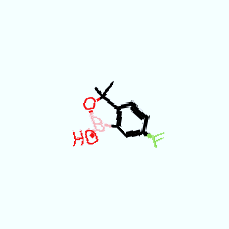 CC1(C)OB(O)c2cc(F)ccc21